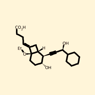 CCO[C@]12CC[C@@H](O)[C@H](C#C[C@@H](O)C3CCCCC3)[C@H]1CC2=CCCC(=O)O